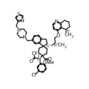 COC(=O)C1(N(C(=O)C(F)(F)F)c2cccc(Cl)c2)CCC2(CC1)c1cc(CN3CCN(Cc4cscn4)CC3)ccc1C[C@@H]2C[C@@H](C)COc1ccnc2c1[C@H](C)CCC2